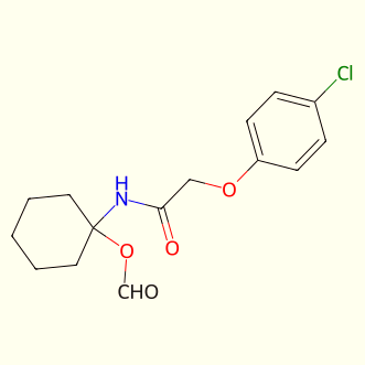 O=COC1(NC(=O)COc2ccc(Cl)cc2)CCCCC1